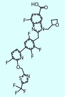 O=C(O)c1cc(F)c2nc(Cc3c(F)cc(-c4ccc(F)c(OCc5ncc(C(F)(F)F)s5)n4)c(F)c3F)n(CC3CCO3)c2c1